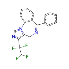 FC(F)C(F)(F)c1ncn2c1CN=C(c1ccccc1)c1ccccc1-2